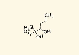 CCCC(O)C(O)([SiH3])[C]=O